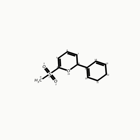 CS(=O)(=O)C1=CC=CC(C2=CCCC=C2)O1